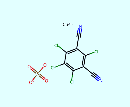 N#Cc1c(Cl)c(Cl)c(Cl)c(C#N)c1Cl.O=S(=O)([O-])[O-].[Cu+2]